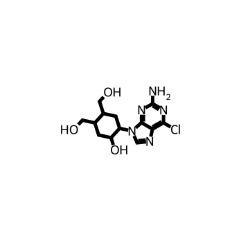 Nc1nc(Cl)c2ncn(C3CC(CO)C(CO)CC3O)c2n1